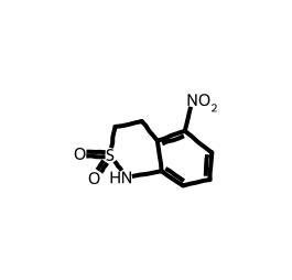 O=[N+]([O-])c1cccc2c1CCS(=O)(=O)N2